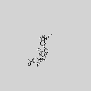 CCCn1nnc2ccc(-c3ccn4nc(N[C@@H]5CCN(C(C)=O)CC5(F)F)nc(OC)c34)cc21